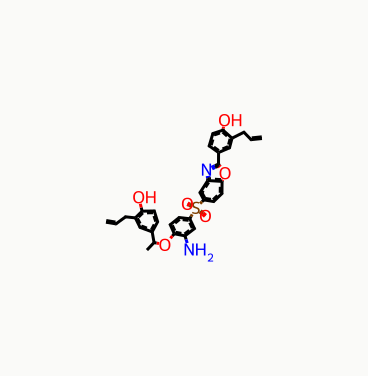 C=CCc1cc(-c2nc3cc(S(=O)(=O)c4ccc(OC(C)c5ccc(O)c(CC=C)c5)c(N)c4)ccc3o2)ccc1O